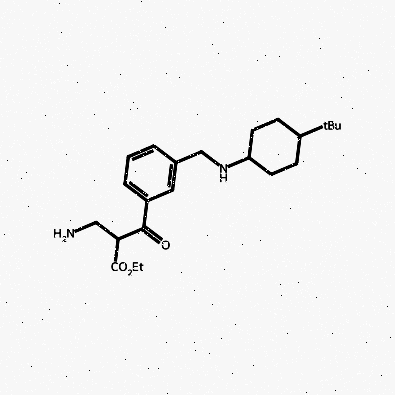 CCOC(=O)C(CN)C(=O)c1cccc(CNC2CCC(C(C)(C)C)CC2)c1